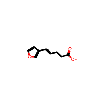 O=C(O)CCC=Cc1ccoc1